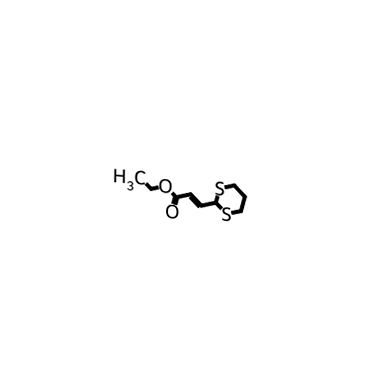 CCOC(=O)C=CC1SCCCS1